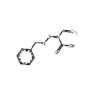 C=CN(SSCc1ccccc1)C(=O)O